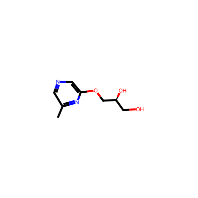 Cc1cncc(OC[C@@H](O)CO)n1